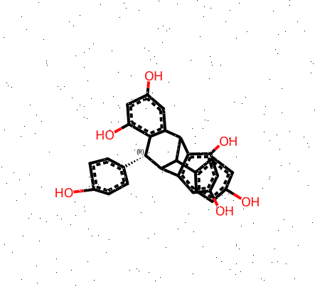 Oc1ccc(C2C3c4cc(O)cc(O)c4[C@@H](c4ccc(O)cc4)C2c2cc(O)cc(O)c23)cc1